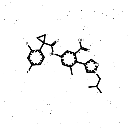 Cc1cc(NC(=O)C2(c3ccc(F)cc3F)CC2)cc(C(=O)O)c1-c1cnn(CC(C)C)c1